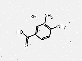 Nc1ccc(C(=O)O)cc1N.[KH]